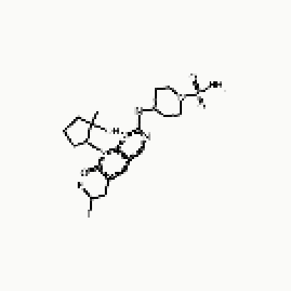 CC1(O)CCCC1n1c(=O)c(CC(F)F)cc2cnc(NC3CCN(S(N)(=O)=O)CC3)nc21